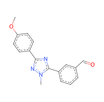 COc1ccc(-c2nc(-c3cccc(C=O)c3)n(C)n2)cc1